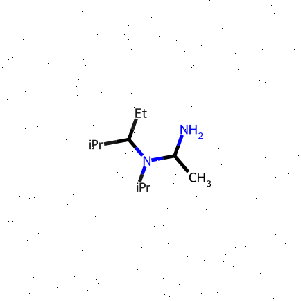 CCC(C(C)C)N(C(C)C)C(C)N